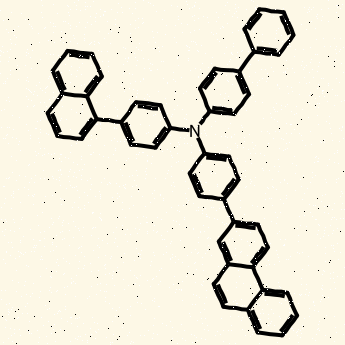 c1ccc(-c2ccc(N(c3ccc(-c4ccc5c(ccc6ccccc65)c4)cc3)c3ccc(-c4cccc5ccccc45)cc3)cc2)cc1